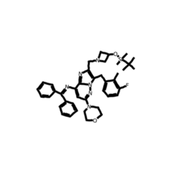 Cc1c(F)cccc1Cc1c(CN2CC(O[Si](C)(C)C(C)(C)C)C2)nc2c(N=C(c3ccccc3)c3ccccc3)cc(N3CCOCC3)nn12